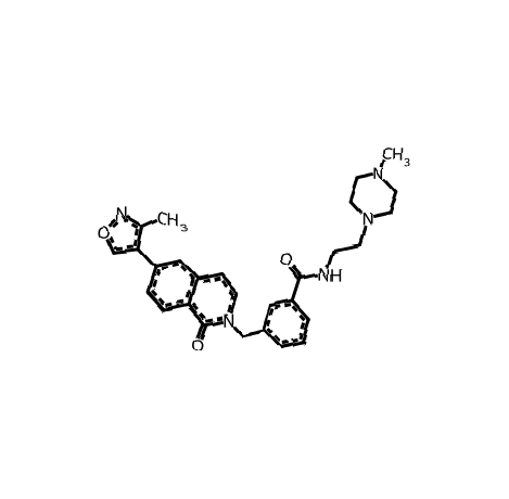 Cc1nocc1-c1ccc2c(=O)n(Cc3cccc(C(=O)NCCN4CCN(C)CC4)c3)ccc2c1